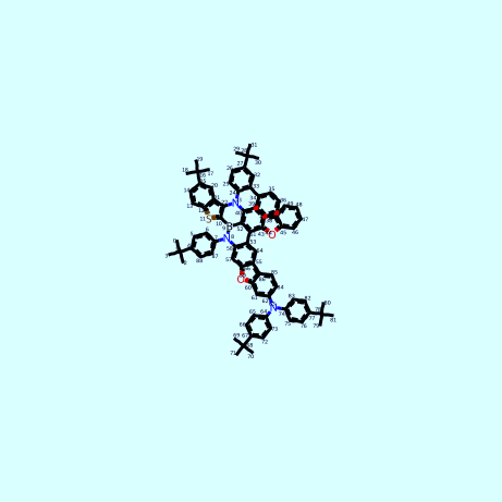 CC(C)(C)c1ccc(N2B3c4sc5ccc(C(C)(C)C)cc5c4N(c4ccc(C(C)(C)C)cc4-c4ccccc4)c4cc5c(oc6ccccc65)c(c43)-c3cc4c(cc32)oc2cc(N(c3ccc(C(C)(C)C)cc3)c3ccc(C(C)(C)C)cc3)ccc24)cc1